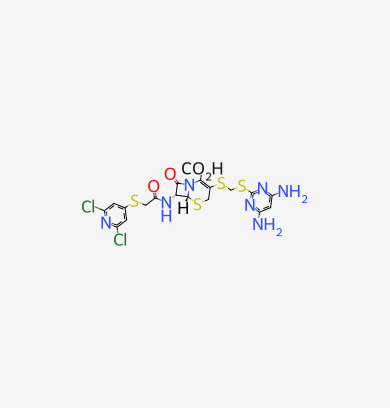 Nc1cc(N)nc(SCSC2=C(C(=O)O)N3C(=O)[C@@H](NC(=O)CSc4cc(Cl)nc(Cl)c4)[C@H]3SC2)n1